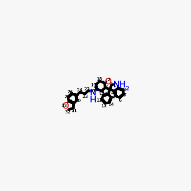 NC(=O)C(c1ccccc1)(c1ccccc1)C1CCCC(NCCCc2ccc3c(c2)CCO3)C1